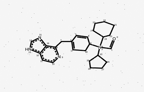 O=C[N+](C1C=CC(Cc2nccc3[nH]cnc23)=CC1)(C1CCCCC1)C1CCCC1